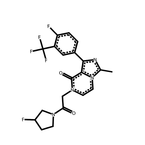 Cc1nc(-c2ccc(F)c(C(F)(F)F)c2)c2c(=O)n(CC(=O)N3CCC(F)C3)ccn12